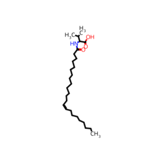 CCCCCCCC/C=C\CCCCCCCCCCCCC(=O)NC(C(=O)O)C(C)C